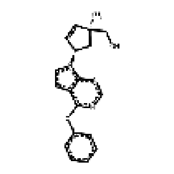 C[C@@]1(CO)C=C[C@H](n2ccc3c(Oc4ccccc4)ncnc32)C1